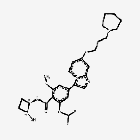 COc1cc(-c2cnc3cc(OCCCN4CCCCC4)ccn23)cc(OC(F)F)c1C(=O)N[C@@H]1CC[C@H]1O